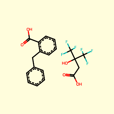 O=C(O)CC(O)(C(F)(F)F)C(F)(F)F.O=C(O)c1ccccc1Cc1ccccc1